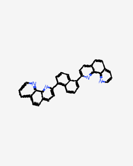 c1cnc2c(c1)ccc1ccc(-c3cccc4c(-c5ccc6ccc7cccnc7c6n5)cccc34)nc12